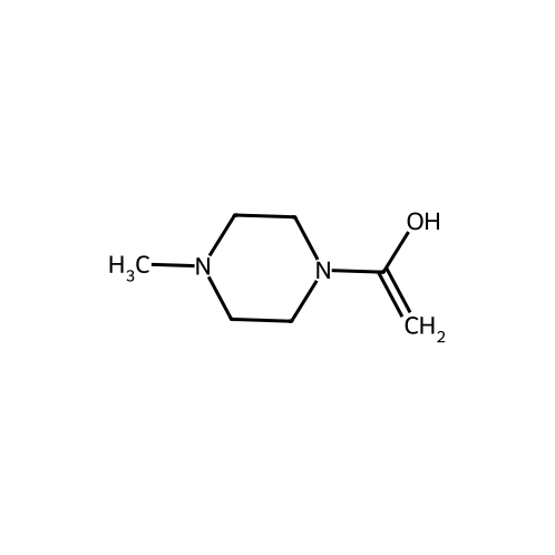 C=C(O)N1CCN(C)CC1